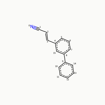 N#CC=Cc1cccc(-c2ccccc2)c1